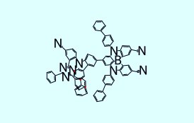 N#Cc1ccc2c(c1)B1c3cc(C#N)ccc3N(c3ccc(-c4ccccc4)cc3)c3cc(-c4ccc5c(c4)c4cc(-c6ccccc6)ccc4n5-c4ccc(C#N)cc4-c4nc(-c5ccccc5)nc(-c5ccccc5)n4)cc(c31)N2c1ccc(-c2ccccc2)cc1